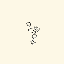 Cc1nccn1-c1ccc(SC2(C(N)=O)CCOC(c3ccccc3)C2)cc1